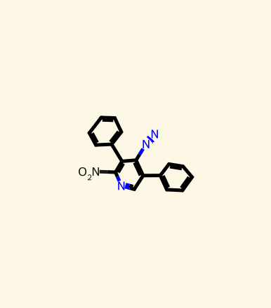 N#[N+]c1c(-c2ccccc2)cnc([N+](=O)[O-])c1-c1ccccc1